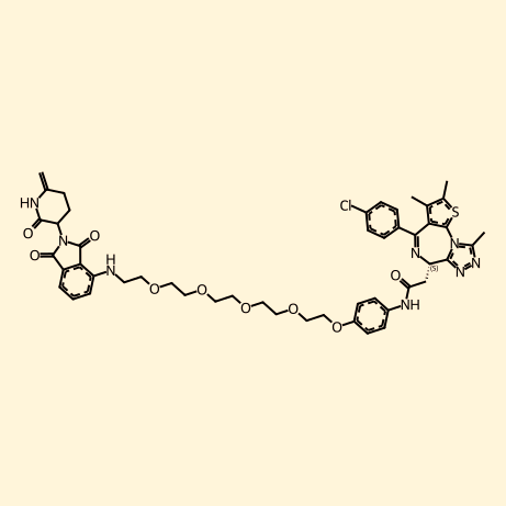 C=C1CCC(N2C(=O)c3cccc(NCCOCCOCCOCCOCCOc4ccc(NC(=O)C[C@@H]5N=C(c6ccc(Cl)cc6)c6c(sc(C)c6C)-n6c(C)nnc65)cc4)c3C2=O)C(=O)N1